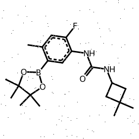 Cc1cc(F)c(NC(=O)NC2CC(C)(C)C2)cc1B1OC(C)(C)C(C)(C)O1